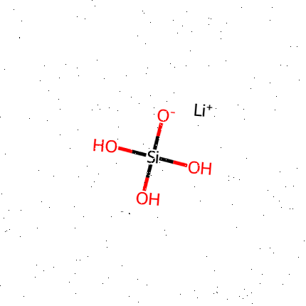 [Li+].[O-][Si](O)(O)O